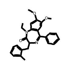 CCN1C(=O)C(Cc2ccccc2C)N=C(c2ccccc2)c2cc(OC)c(OC)cc21